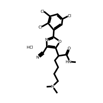 CNC(=O)C(CCCCN(C)C)c1oc(-c2cc(Cl)cc(Cl)c2Cl)nc1C#N.Cl